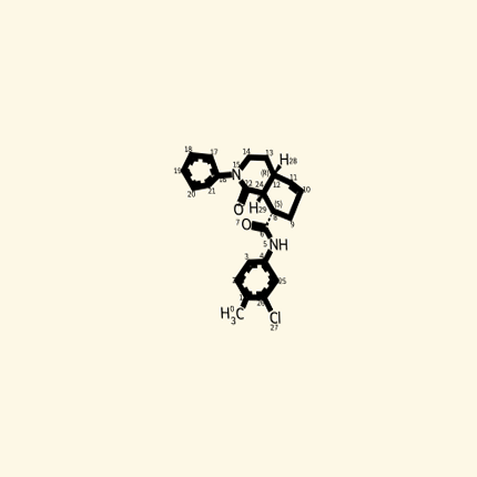 Cc1ccc(NC(=O)[C@H]2CC=C[C@H]3CCN(c4ccccc4)C(=O)[C@@H]23)cc1Cl